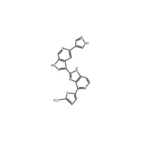 Cc1ccc(-c2nccc3[nH]c(-c4n[nH]c5cnc(-c6cn[nH]c6)cc45)nc23)s1